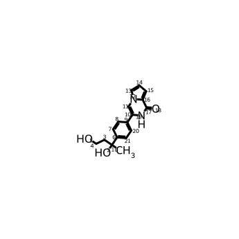 CC(O)(CCO)c1ccc(-c2cn3cccc3c(=O)[nH]2)cc1